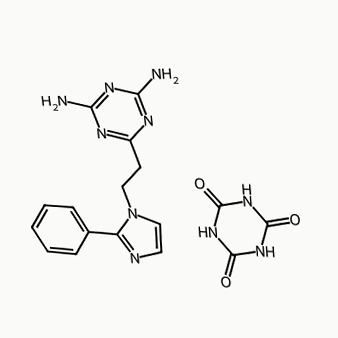 Nc1nc(N)nc(CCn2ccnc2-c2ccccc2)n1.O=c1[nH]c(=O)[nH]c(=O)[nH]1